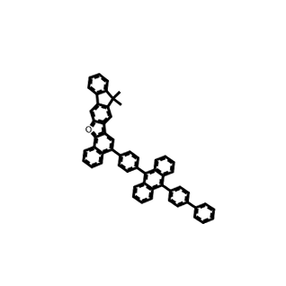 CC1(C)c2ccccc2-c2cc3oc4c5ccccc5c(-c5ccc(-c6c7ccccc7c(-c7ccc(-c8ccccc8)cc7)c7ccccc67)cc5)cc4c3cc21